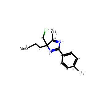 COCCC1(CCl)N=C(c2ccc(C(F)(F)F)cc2)N=C1C